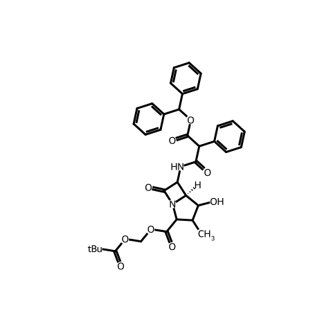 CC1C(O)[C@@H]2C(NC(=O)C(C(=O)OC(c3ccccc3)c3ccccc3)c3ccccc3)C(=O)N2C1C(=O)OCOC(=O)C(C)(C)C